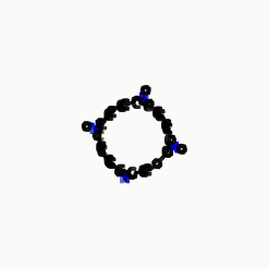 Cn1c2ccc3cc2c2cc(ccc21)-c1ccc(cc1)-c1ccc(cc1)-c1ccc2c(c1)c1cc(ccc1n2-c1ccccc1)-c1ccc(cc1)-c1ccc(cc1)-c1ccc2c(c1)c1cc(ccc1n2-c1ccccc1)-c1ccc(cc1)-c1ccc(cc1)-c1ccc2c(c1)c1cc(ccc1n2-c1ccccc1)-c1ccc(cc1)-c1ccc-3cc1